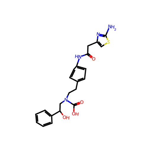 Nc1nc(CC(=O)Nc2ccc(CCN(CC(O)c3ccccc3)C(=O)O)cc2)cs1